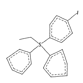 CCS(c1ccccc1)(c1ccccc1)c1ccc(I)cc1